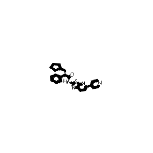 O=C(Nc1nc2ccc(-c3ccncc3)nc2s1)[C@H](CC1CCCC1)c1ccccc1